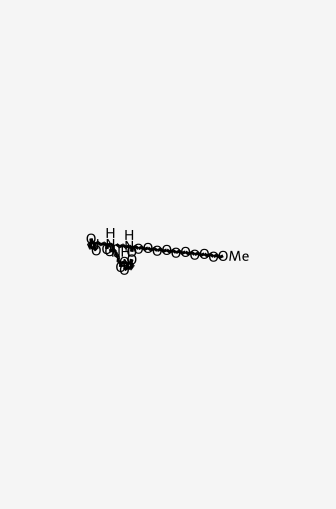 COCCOCCOCCOCCOCCOCCOCCOCCOCCOCC(=O)NCCCC[C@H](NC(=O)CCCN1C(=O)C=CC1=O)C(=O)NCCCC(=O)ON1C(=O)CCC1=O